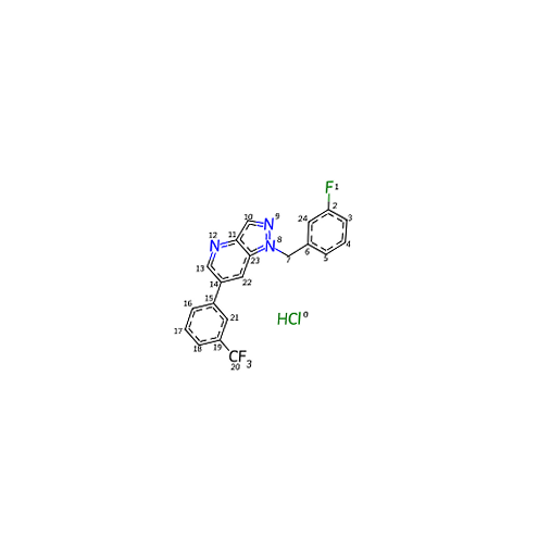 Cl.Fc1cccc(Cn2ncc3ncc(-c4cccc(C(F)(F)F)c4)cc32)c1